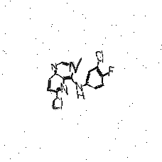 Fc1ccc(Nc2ncnc3ccc(Cl)nc23)cc1Cl